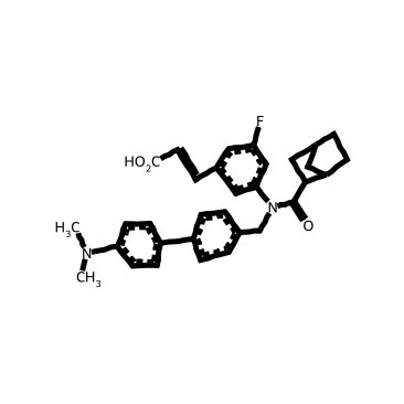 CN(C)c1ccc(-c2ccc(CN(C(=O)C3CC4CCC3C4)c3cc(F)cc(C=CC(=O)O)c3)cc2)cc1